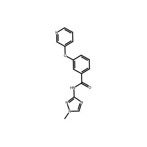 Cn1cnc(NC(=O)c2cccc(Oc3cccnc3)c2)n1